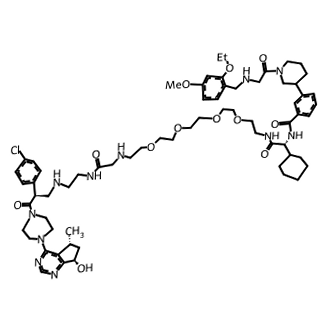 CCOc1cc(OC)ccc1CNCC(=O)N1CCCC(c2cccc(C(=O)N[C@@H](C(=O)NCCOCCOCCOCCOCCNCC(=O)NCCNC[C@@H](C(=O)N3CCN(c4ncnc5c4[C@H](C)C[C@H]5O)CC3)c3ccc(Cl)cc3)C3CCCCC3)c2)C1